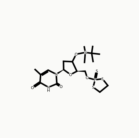 Cc1cn([C@H]2CC(O[Si](C)(C)C(C)(C)C)[C@@H](COP3(=S)SCCS3)O2)c(=O)[nH]c1=O